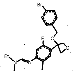 CCN(C)C=Nc1cc(F)c(C2(OCc3ccc(Br)cc3)COC2)cc1C